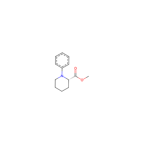 COC(=O)[C@@H]1CCCCN1c1ccccc1